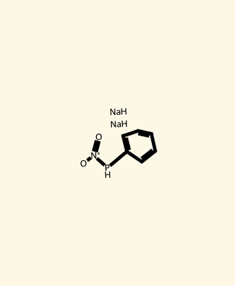 O=[N+]([O-])Pc1ccccc1.[NaH].[NaH]